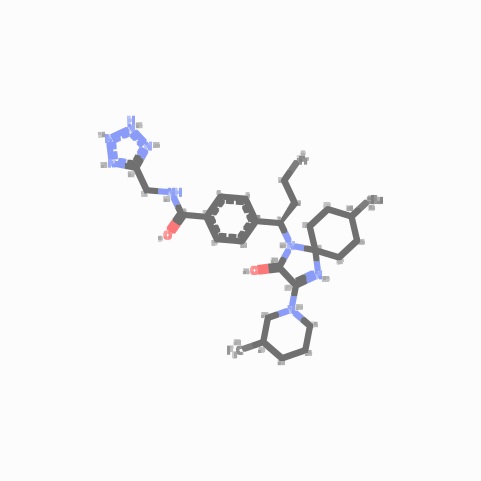 CC(C)CC[C@H](c1ccc(C(=O)NCc2nn[nH]n2)cc1)N1C(=O)C(N2CCCC(C(F)(F)F)C2)=NC12CCC(C(C)(C)C)CC2